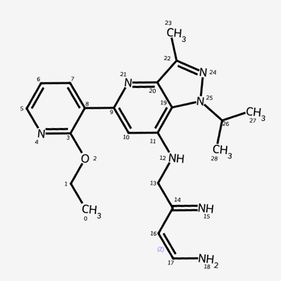 CCOc1ncccc1-c1cc(NCC(=N)/C=C\N)c2c(n1)c(C)nn2C(C)C